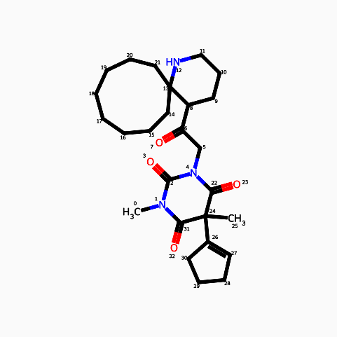 CN1C(=O)N(CC(=O)C2CCCNC23CCCCCCCC3)C(=O)C(C)(C2=CCCC2)C1=O